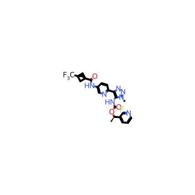 C[C@@H](OC(=O)Nc1c(-c2ccc(NC(=O)C34CC(C(F)(F)F)(C3)C4)cn2)nnn1C)c1cccnc1F